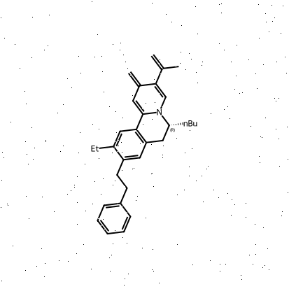 C=C(C)C1=CN2C(=CC1=C)c1cc(CC)c(CCc3ccccc3)cc1C[C@H]2CCCC